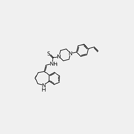 C=Cc1ccc(N2CCN(C(=S)N/C=C3/CCCNc4ccccc43)CC2)cc1